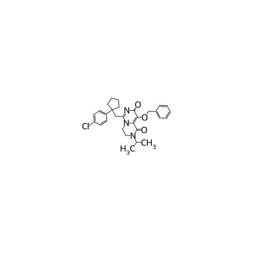 CC(C)N1CCn2c(CC3(c4ccc(Cl)cc4)CCCC3)nc(=O)c(OCc3ccccc3)c2C1=O